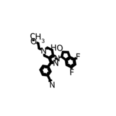 COCCN1CCc2c(c(-c3cccc(C#N)c3)nn2[C@@H]2c3cc(F)cc(F)c3C[C@@H]2O)C1